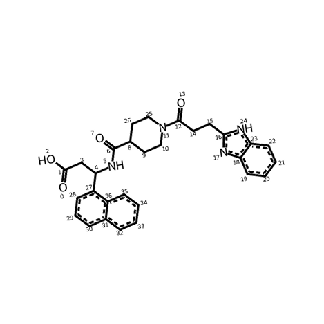 O=C(O)CC(NC(=O)C1CCN(C(=O)CCc2nc3ccccc3[nH]2)CC1)c1cccc2ccccc12